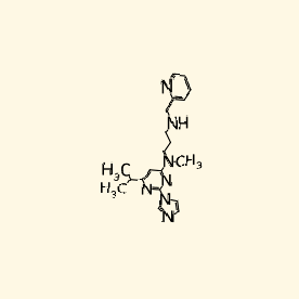 CC(C)c1cc(N(C)CCCNCc2ccccn2)nc(-n2ccnc2)n1